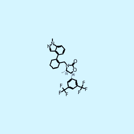 C[C@H]1[C@@H](c2cc(C(F)(F)F)cc(C(F)(F)F)c2)OC(=O)N1CC1=C(c2cccc3c2cnn3C)CCCC1